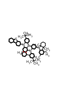 Cc1cc2c3c(c1)N(c1ccc(C(C)(C)C)cc1-c1ccccc1)c1cc(N4c5cc(C)cc(C)c5C5(C)CCCCC45C)ccc1B3c1ccc(C(C)(C)C)cc1N2c1ccc2c(c1)sc1ccccc12